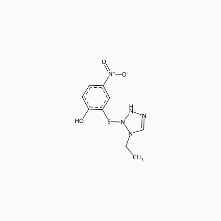 CCN1C=NNN1Sc1cc([N+](=O)[O-])ccc1O